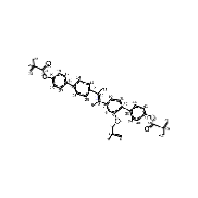 C=C(C)COc1cc(/C(C)=C(\C)c2ccc(-c3ccc(OC(=O)C(=C)C)cc3)cc2)ccc1-c1ccc(OC(=O)C(=C)C)cc1